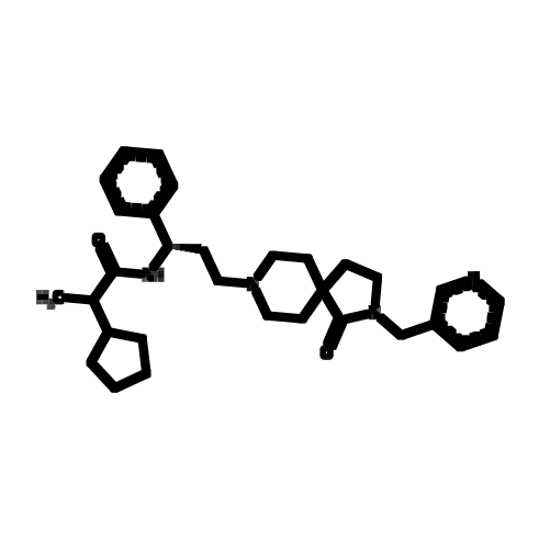 CC(C(=O)N[C@@H](CCN1CCC2(CC1)CCN(Cc1cccnc1)C2=O)c1ccccc1)C1CCCC1